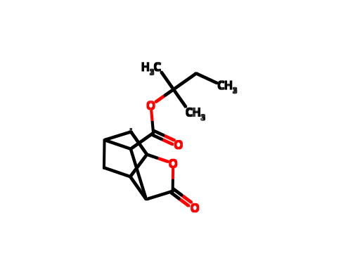 CCC(C)(C)OC(=O)C1C2[CH]C3OC(=O)C1C3C2